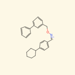 [C](=N/OCc1cccc(-c2ccccc2)c1)/c1ccc(C2CCCCC2)cc1